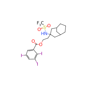 O=C(OCCC1(NS(=O)(=O)C(F)(F)F)CC2CCCC(C2)C1)c1cc(I)cc(I)c1I